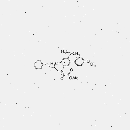 COC(=O)C(=O)N(CCCCc1ccccc1)c1cc(-c2ccc(OC(F)(F)F)cc2)c(N(C)C)cc1C